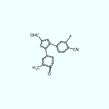 Cn1cc(-c2sc(C=O)cc2-c2ccc(C#N)c(F)c2)ccc1=O